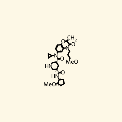 C=C1Oc2ccc(N(C(=O)[C@H]3CNC[C@@H](C(=O)N[C@H]4CCC[C@@H]4OC)C3)C3CC3)cc2N(CCCOC)C1=O